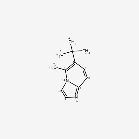 Cc1c(C(C)(C)C)ccc2nccn12